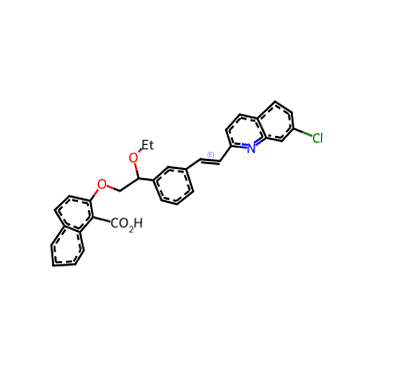 CCOC(COc1ccc2ccccc2c1C(=O)O)c1cccc(/C=C/c2ccc3ccc(Cl)cc3n2)c1